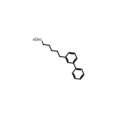 CCCCCCCCCCCCCCCc1cccc(-c2[c]cccc2)c1